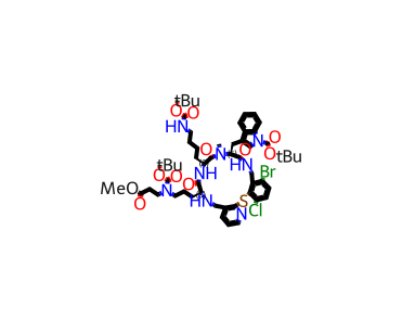 COC(=O)CCN(CCC[C@@H]1NCc2cccnc2Sc2c(Cl)ccc(Br)c2CNC(=O)[C@H](Cc2cn(C(=O)OC(C)(C)C)c3ccccc23)N(C)C(=O)[C@H](CCCCNC(=O)OC(C)(C)C)NC1=O)C(=O)OC(C)(C)C